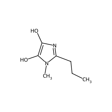 CCCc1nc(O)c(O)n1C